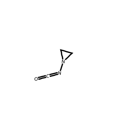 O=C=NN1CC1